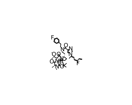 C=C/C(F)=C\C=C(/C)n1cnc(C(=O)N(CCc2ccc(F)cc2)CC[C@@H]2CCCN2C(=O)[C@@H](NC(=O)[C@H](C)N(C)C(=O)OC(C)(C)C)[C@@H](C)OC)c1